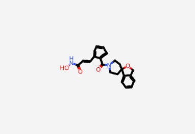 O=C(C=Cc1ccccc1C(=O)N1CCC2(CC1)OCc1ccccc12)NO